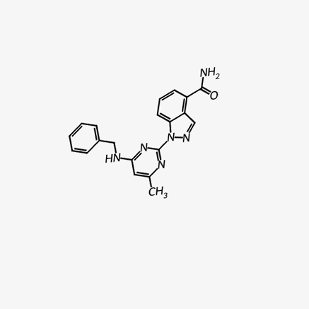 Cc1cc(NCc2ccccc2)nc(-n2ncc3c(C(N)=O)cccc32)n1